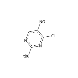 CC(C)(C)c1ncc(N=O)c(Cl)n1